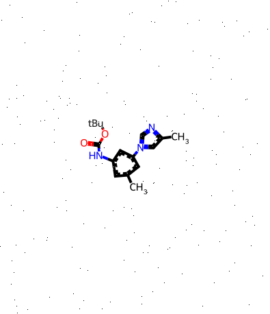 Cc1cc(NC(=O)OC(C)(C)C)cc(-n2cnc(C)c2)c1